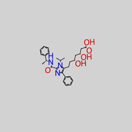 CC(C)n1c(C(=O)N[C@@H](C)c2ccccc2)nc(-c2ccccc2)c1CC[C@@H](O)C[C@@H](O)CC(=O)O